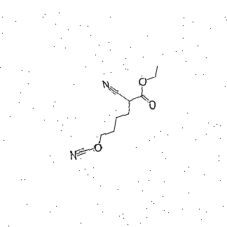 CCOC(=O)C(C#N)CCCCOC#N